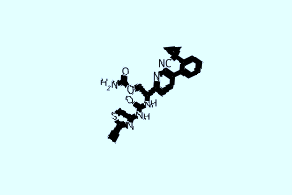 C#Cc1nc(NC(=O)NC(COC(N)=O)c2ccc(-c3ccccc3C3(C#N)CC3)cn2)cs1